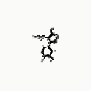 CCOC(=O)c1c(-c2ccc(F)c(F)c2)noc1C